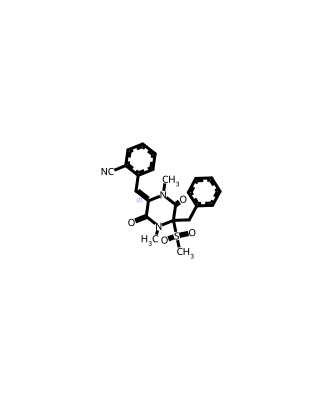 CN1C(=O)C(Cc2ccccc2)(S(C)(=O)=O)N(C)C(=O)/C1=C/c1ccccc1C#N